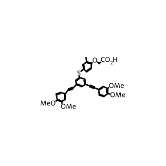 COc1ccc(C#Cc2cc(C#Cc3ccc(OC)c(OC)c3)cc(Sc3ccc(OCC(=O)O)c(C)c3)c2)cc1OC